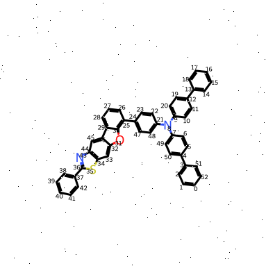 c1ccc(-c2ccc(N(c3ccc(-c4ccccc4)cc3)c3ccc(-c4cccc5c4oc4cc6sc(-c7ccccc7)nc6cc45)cc3)cc2)cc1